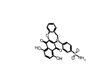 NS(=O)(=O)c1ccc(N2Cc3ccccc3OC3=C2C(=O)c2c(O)ccc(O)c2C3=O)cc1